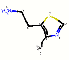 CC(C)c1ncsc1CCN